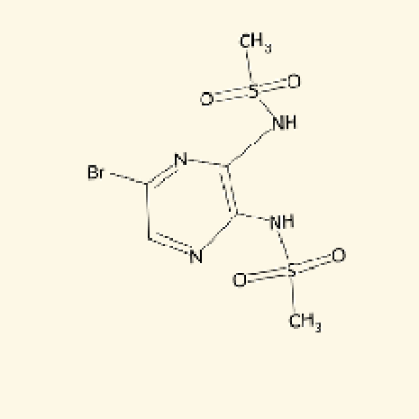 CS(=O)(=O)Nc1ncc(Br)nc1NS(C)(=O)=O